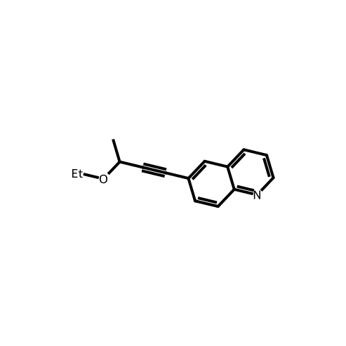 CCOC(C)C#Cc1ccc2ncccc2c1